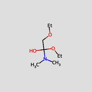 CCOCC(O)(OCC)N(C)C